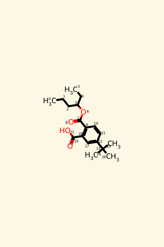 CCCC(CC)OC(=O)c1ccc(C(C)(C)C)cc1C(=O)O